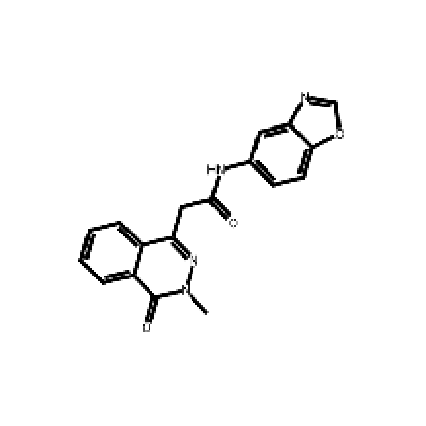 Cn1nc(CC(=O)Nc2ccc3ocnc3c2)c2ccccc2c1=O